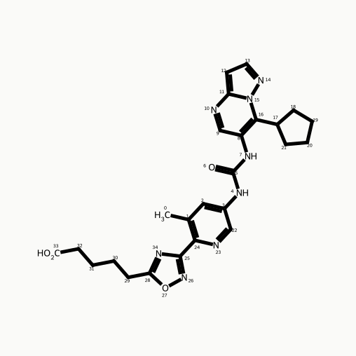 Cc1cc(NC(=O)Nc2cnc3ccnn3c2C2CCCC2)cnc1-c1noc(CCCCC(=O)O)n1